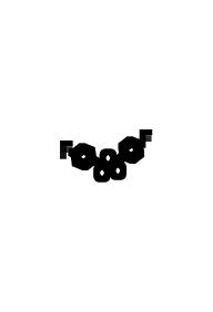 O=C(OC(=O)c1ccc(F)cc1)c1ccc(F)cc1